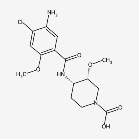 COc1cc(Cl)c(N)cc1C(=O)N[C@H]1CCN(C(=O)O)C[C@H]1OC